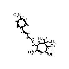 CC1=CC(O)C(O)C(C)(C)CC1OOC/C=C/c1ccc([N+](=O)[O-])cc1